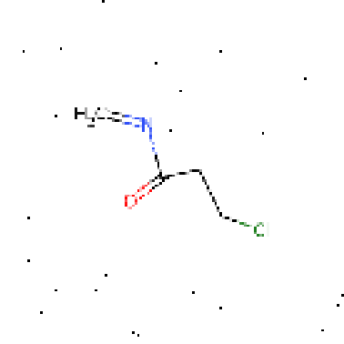 C=NC(=O)CCCl